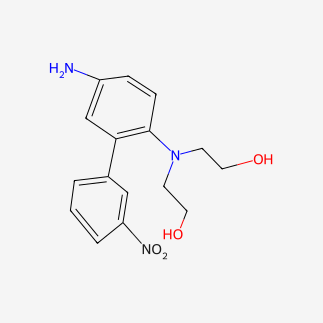 Nc1ccc(N(CCO)CCO)c(-c2cccc([N+](=O)[O-])c2)c1